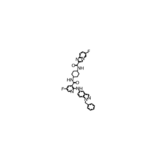 O=C(NC1CCC(NC(=O)c2cc(F)cnc2Nc2ccc3c(cnn3Cc3ccccc3)c2)CC1)c1cn2cc(F)ccc2n1